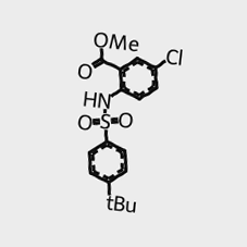 COC(=O)c1cc(Cl)ccc1NS(=O)(=O)c1ccc(C(C)(C)C)cc1